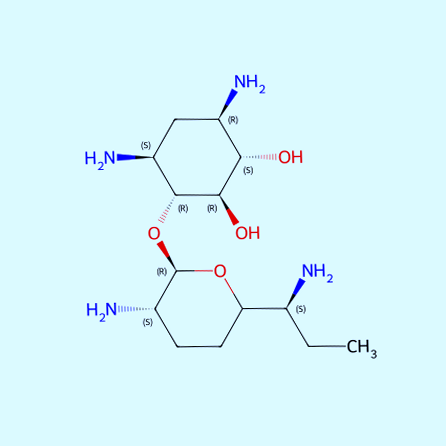 CC[C@H](N)C1CC[C@H](N)[C@@H](O[C@H]2[C@H](O)[C@@H](O)[C@H](N)C[C@@H]2N)O1